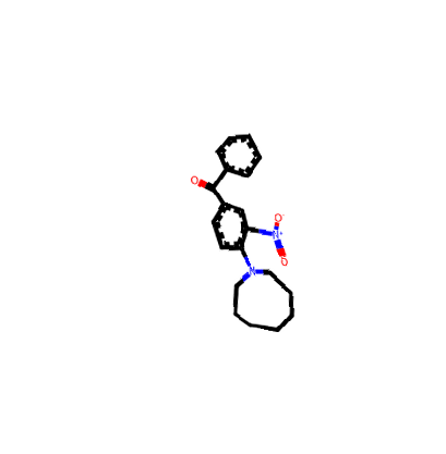 O=C(c1ccccc1)c1ccc(N2CCCCCCC2)c([N+](=O)[O-])c1